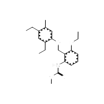 CCOc1cccc(NC(=S)OC)c1COc1cc(C)c(CC)cc1CC